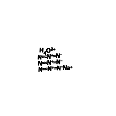 [N-]=[N+]=[N-].[N-]=[N+]=[N-].[N-]=[N+]=[N-].[Na+].[OH4+2]